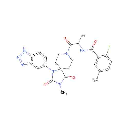 CC(C)C(NC(=O)c1cc(C(F)(F)F)ccc1F)C(=O)N1CCC2(CC1)C(=O)N(C)C(=O)N2c1ccc2[nH]nnc2c1